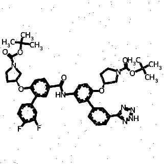 CC(C)(C)OC(=O)N1CC[C@H](Oc2ccc(NC(=O)c3ccc(O[C@H]4CCN(C(=O)OC(C)(C)C)C4)c(-c4ccc(F)c(F)c4)c3)cc2-c2cccc(-c3nn[nH]n3)c2)C1